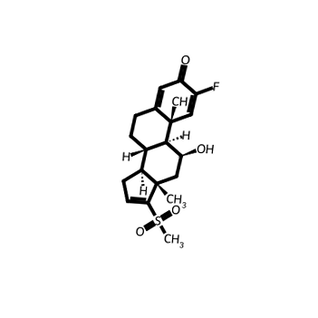 C[C@]12C=C(F)C(=O)C=C1CC[C@@H]1[C@@H]2[C@@H](O)C[C@]2(C)C(S(C)(=O)=O)=CC[C@@H]12